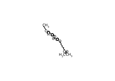 C=C(C)C(=O)OCCCCCCCCOc1ccc(C(=O)Oc2ccc(-c3ccc(OCCCCC)cn3)cc2)cc1